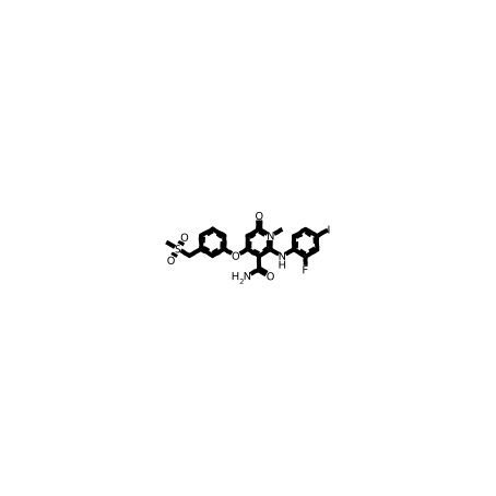 Cn1c(Nc2ccc(I)cc2F)c(C(N)=O)c(Oc2cccc(CS(C)(=O)=O)c2)cc1=O